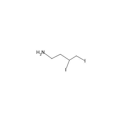 NCCC(I)CI